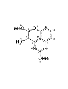 COC(=O)C(C)c1nc(OC)cc2ccccc12